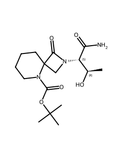 C[C@@H](O)[C@@H](C(N)=O)N1CC2(CCCCN2C(=O)OC(C)(C)C)C1=O